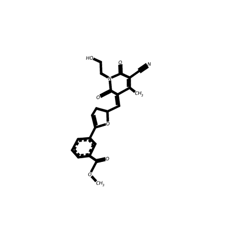 COC(=O)c1cccc(C2=CCC(/C=C3\C(=O)N(CCO)C(=O)C(C#N)=C3C)O2)c1